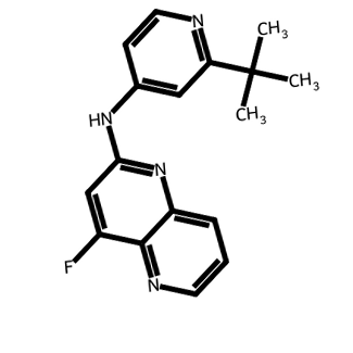 CC(C)(C)c1cc(Nc2cc(F)c3ncccc3n2)ccn1